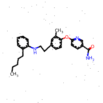 CCCCCc1ccccc1NCCc1ccc(Oc2ccc(C(N)=O)cn2)c(C)c1